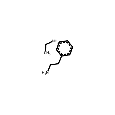 CCN.NCCc1ccccc1